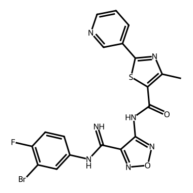 Cc1nc(-c2cccnc2)sc1C(=O)Nc1nonc1C(=N)Nc1ccc(F)c(Br)c1